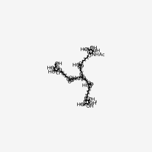 CC(=O)NC1[C@H](OCCCCCCOP(=O)(O)OCCCOCC(COCCCOP(=O)(O)OCCCCCCO[C@@H]2OC(CO)[C@H](O)[C@H](O)C2C)(OCCCOP(=O)(O)OCCCCCCO[C@@H]2OC(CO)[C@H](O)[C@H](O)C2C)C(C)C)OC(CO)[C@H](O)[C@@H]1O